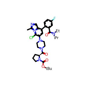 CCN(C(=O)c1cc(F)ccc1-c1cc(N2CCN(C(=O)[C@@H]3CCCN3C(=O)OC(C)(C)C)CC2)c(Cl)n2c(C)ncc12)C(C)C